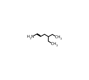 CCC(CC)C/C=C/N